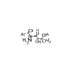 CC(=O)C(=O)[C@H](N)[C@@H](O)[C@@H](O)[C@@H](C)O